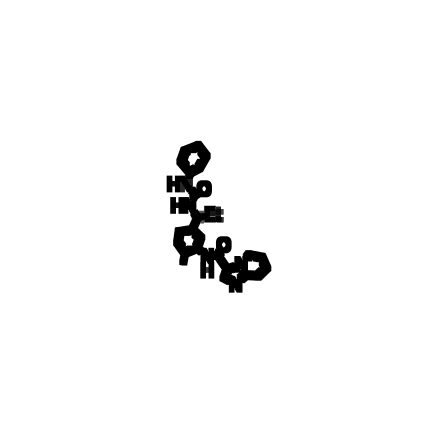 CC[C@H](NC(=O)Nc1ccccc1)c1ccc(C)c(NC(=O)c2cnc3ccccn23)c1